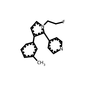 Cc1cccc(-c2ccn(CCF)c2-c2ccncc2)c1